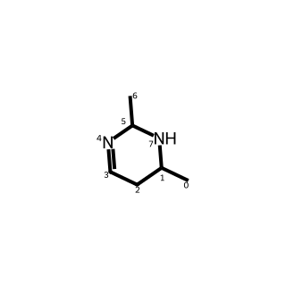 CC1CC=NC(C)N1